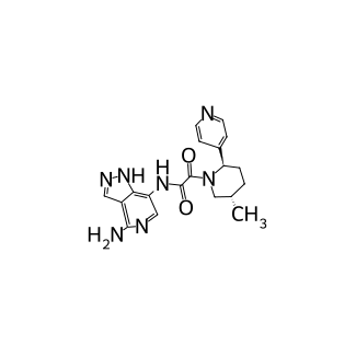 C[C@H]1CC[C@H](c2ccncc2)N(C(=O)C(=O)Nc2cnc(N)c3cn[nH]c23)C1